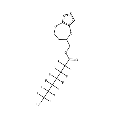 O=C(OCC1CCOc2cscc2O1)C(F)(F)C(F)(F)C(F)(F)C(F)(F)C(F)(F)C(F)(F)C(F)(F)F